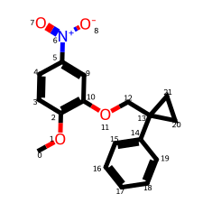 COc1ccc([N+](=O)[O-])cc1OCC1(c2ccccc2)CC1